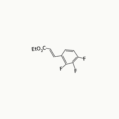 CCOC(=O)C=Cc1ccc(F)c(F)c1F